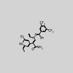 C=CN(/C=C(/C(N)=O)C(=C/C(C#N)=C\C)/C=C(\C)CC)/N=C(/c1cc(C(F)(F)F)cc(C(F)(F)F)c1)C(C)C